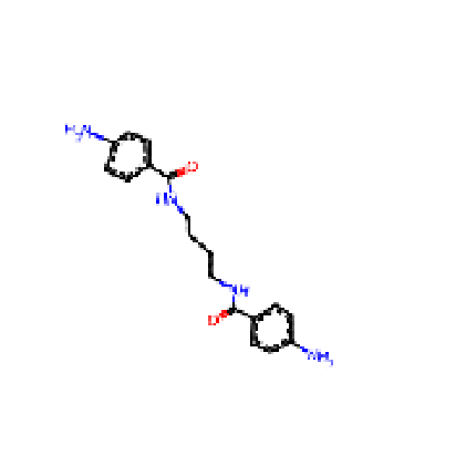 Nc1ccc(C(=O)NCCCCNC(=O)c2ccc(N)cc2)cc1